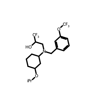 CC(C)OC1CCCC(N(Cc2cccc(OC(F)(F)F)c2)CC(O)C(F)(F)F)C1